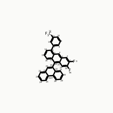 Fc1cc2cc3c(-c4cccc(C(F)(F)F)c4)cccc3c(-c3cc4ccccc4c4ccccc34)c2cc1F